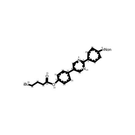 CCCCCCCCCc1ccc(-c2ncc(-c3ccc(OC(=O)CCCC(C)CC)cc3)cn2)cc1